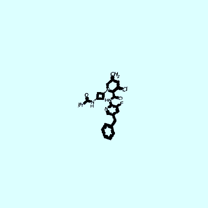 C=C1CC(Cl)=C(C(=O)Nc2ncc(Cc3ccccc3)cc2F)N([C@H]2C[C@@H](NC(=O)C(C)C)C2)C1